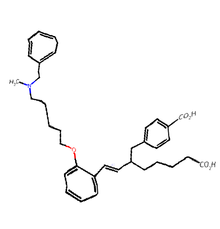 CN(CCCCCOc1ccccc1/C=C/C(CCCCC(=O)O)Cc1ccc(C(=O)O)cc1)Cc1ccccc1